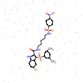 Cc1cc(C)cc(S(=O)(=O)c2c(C(=O)NCCCCCNS(=O)(=O)c3ccc([N+](=O)[O-])cc3)[nH]c3ccc(Cl)cc23)c1